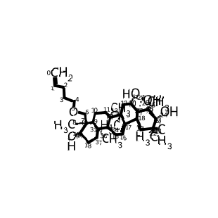 C=CCCCOC[C@]1(C)C2CC[C@]3(C)C(CC=C4C5CC(C)(C)[C@@H](O)[C@H](C)[C@]5(CO)[C@H](O)C[C@]43C)[C@@]2(C)CC[C@@H]1O